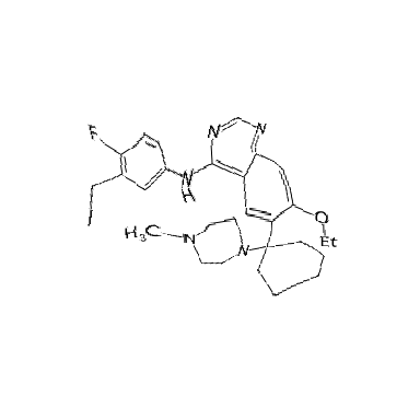 CCOc1cc2ncnc(Nc3ccc(F)c(CI)c3)c2cc1C1(N2CCN(C)CC2)CCCCC1